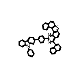 c1ccc(-n2c3ccccc3c3ccc(-c4ccc(-c5nc(-c6cccc7ccccc67)c6ccc7sc8ccc9ccccc9c8c7c6n5)cc4)cc32)cc1